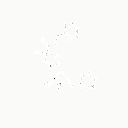 CC(C)(SC(=S)SC(C)(C)C(=O)OCC1C=CC=CC1)C(=O)OCc1ccccc1